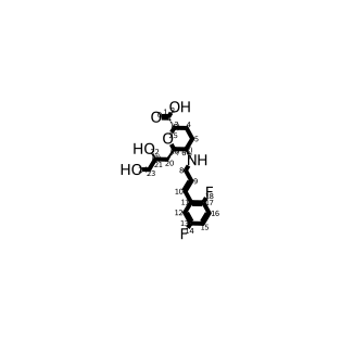 O=C(O)[C@@H]1CC[C@@H](NCC=Cc2cc(F)ccc2F)[C@@H](C[C@@H](O)CO)O1